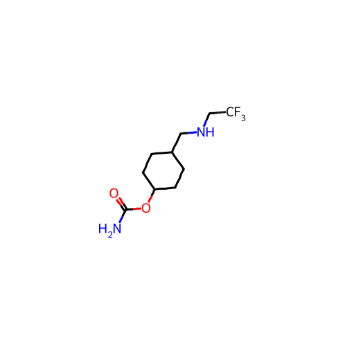 NC(=O)OC1CCC(CNCC(F)(F)F)CC1